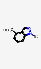 CCn1ncc2c(C(=O)O)cccc21